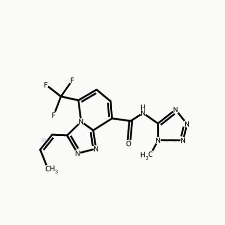 C/C=C\c1nnc2c(C(=O)Nc3nnnn3C)ccc(C(F)(F)F)n12